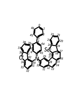 c1ccc(-c2ccc(N(c3ccc4ccc5ccc6c7ccccc7[se]c6c5c4c3)c3cccc4oc5ccccc5c34)cc2)cc1